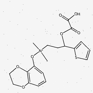 C[N+](C)(CCC(OC(=O)C(=O)O)c1cccs1)Oc1cccc2c1OCCO2